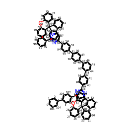 c1ccc(-c2ccc(-c3cc(-c4ccccc4C4(c5ccccc5)c5ccccc5Oc5ccccc54)nc(-c4ccc(-c5cccc(-c6ccc(-c7ccc(-c8cc(-c9ccccc9C9(c%10ccccc%10)c%10ccccc%10Oc%10ccccc%109)nc(-c9ccccc9)n8)cc7)cc6)c5)cc4)n3)cc2)cc1